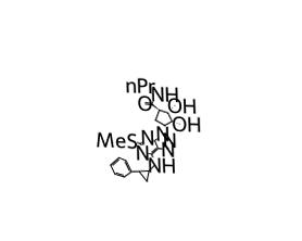 CCCNC(=O)[C@@H]1C[C@H](n2nnc3c(NC4CC4c4ccccc4)nc(SC)nc32)[C@@H](O)[C@H]1O